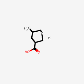 CC1CCCC(C(=O)O)C1.[In]